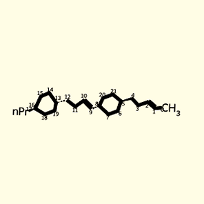 CC=CCC[C@H]1CC[C@H](C=CCC[C@H]2CC[C@H](CCC)CC2)CC1